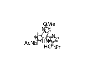 COc1ccc(-c2c(-c3ccnc(NC(C)=O)c3)[nH]c3c(C(O)C(C)C)ccnc23)cn1